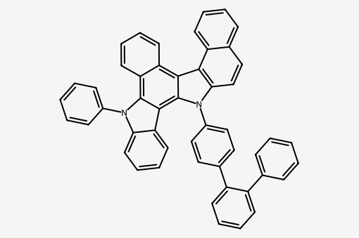 c1ccc(-c2ccccc2-c2ccc(-n3c4ccc5ccccc5c4c4c5ccccc5c5c(c6ccccc6n5-c5ccccc5)c43)cc2)cc1